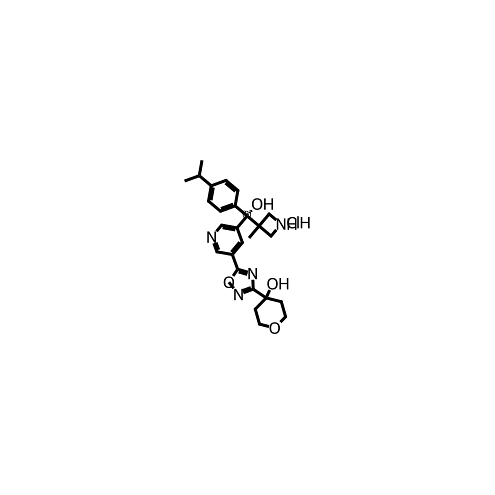 CC(C)c1ccc([C@](O)(c2cncc(-c3nc(C4(O)CCOCC4)no3)c2)C2(C)CNC2)cc1.Cl